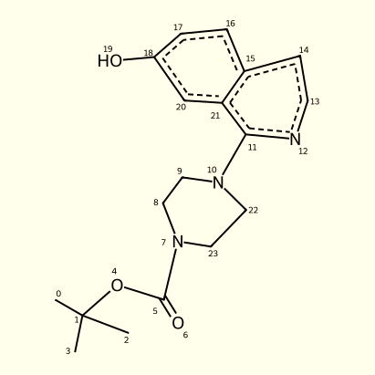 CC(C)(C)OC(=O)N1CCN(c2nccc3ccc(O)cc23)CC1